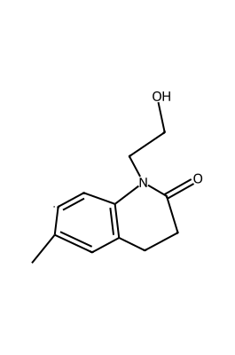 Cc1[c]cc2c(c1)CCC(=O)N2CCO